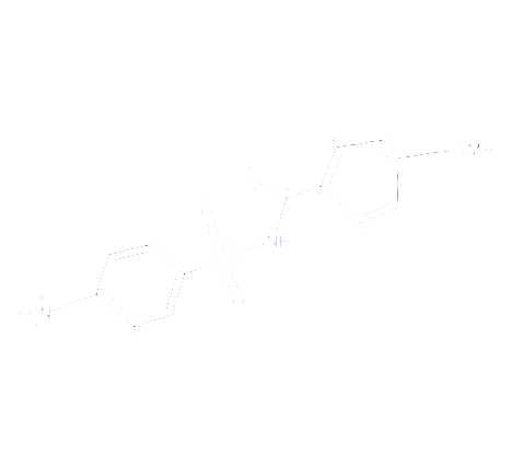 COc1ccc(C(C)NS(=O)(=O)c2ccc([N+](=O)[O-])cc2)cc1